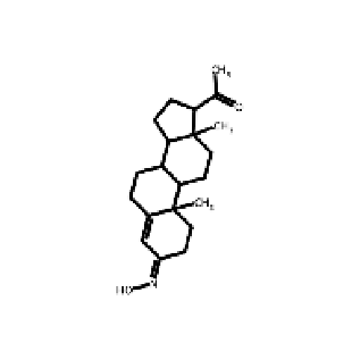 CC(=O)C1CCC2C3CCC4=CC(=NO)CCC4(C)C3CCC12C